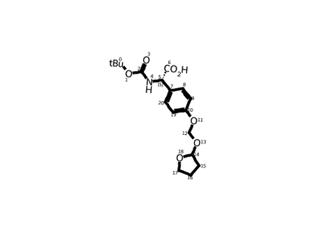 CC(C)(C)OC(=O)N[C@H](C(=O)O)c1ccc(OCOC2CCCO2)cc1